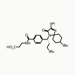 CCCC1=NC2(CCC(C(C)(C)C)CC2)N([C@H](CCC(C)(C)C)c2ccc(C(=O)NCCC(=O)O)cc2)C1=O